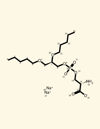 CCCCCOC[C@H](COP(=O)([O-])OC[C@H](N)C(=O)[O-])OCCCCC.[Na+].[Na+]